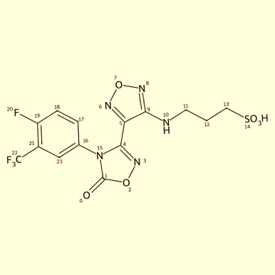 O=c1onc(-c2nonc2NCCCS(=O)(=O)O)n1-c1ccc(F)c(C(F)(F)F)c1